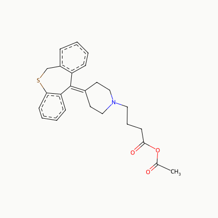 CC(=O)OC(=O)CCCN1CCC(=C2c3ccccc3CSc3ccccc32)CC1